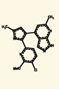 COc1nc(-c2nn(C)cc2-c2cc(C)nc3[nH]ncc23)ccc1Cl